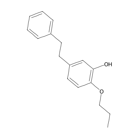 CCCOc1ccc(CCc2ccccc2)cc1O